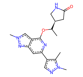 Cc1c(-c2cc3nn(C)cc3c(OC(C)[C@H]3CNC(=O)C3)n2)cnn1C